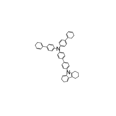 C1=CCCC(c2ccc(N(c3ccc(C4=CCCC=C4)cc3)c3ccc(-c4ccc(-n5c6c(c7c5=CCCC=7)CCCC6)cc4)cc3)cc2)=C1